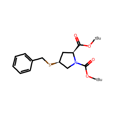 CC(C)(C)OC(=O)[C@@H]1C[C@H](SCc2ccccc2)CN1C(=O)OC(C)(C)C